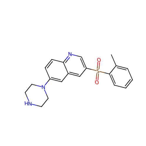 Cc1ccccc1S(=O)(=O)c1cnc2ccc(N3CCNCC3)cc2c1